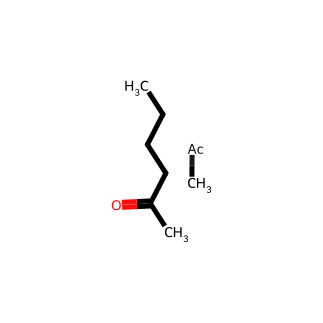 CC(C)=O.CCCCC(C)=O